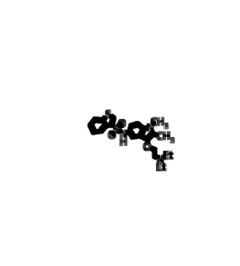 CCN(CC)CCOc1c(C)n(C)c2ccc(NS(=O)(=O)c3csc4ccccc34)cc12